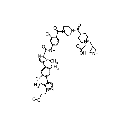 COCCn1ncc(-c2cc(C)c(-c3cnc(C(=O)Nc4ccc(C(=O)N5CCN(C(=O)C6CC[N+](CC(=O)O)(CC7CNC7)CC6)CC5)c(Cl)c4)n3C)cc2Cl)c1C